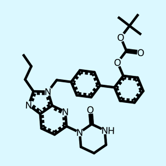 CCCc1nc2ccc(N3CCCNC3=O)nc2n1Cc1ccc(-c2ccccc2OC(=O)OC(C)(C)C)cc1